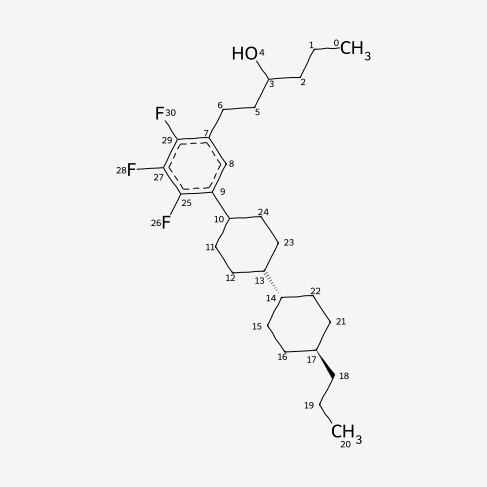 CCCC(O)CCc1cc(C2CCC([C@H]3CC[C@H](CCC)CC3)CC2)c(F)c(F)c1F